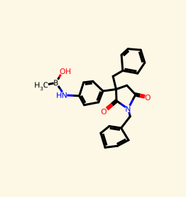 CB(O)Nc1ccc(C2(Cc3ccccc3)CC(=O)N(Cc3ccccc3)C2=O)cc1